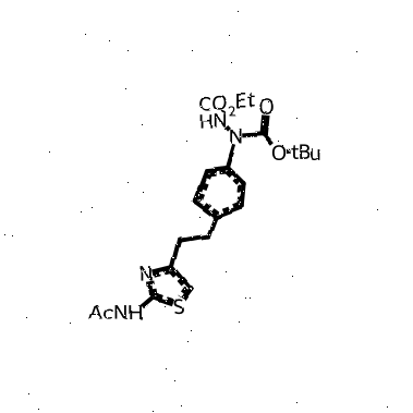 CCOC(=O)NN(C(=O)OC(C)(C)C)c1ccc(CCc2csc(NC(C)=O)n2)cc1